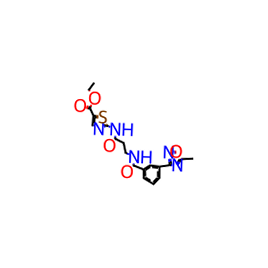 CCOC(=O)c1cnc(NC(=O)CCNC(=O)c2cccc(-c3noc(C)n3)c2)s1